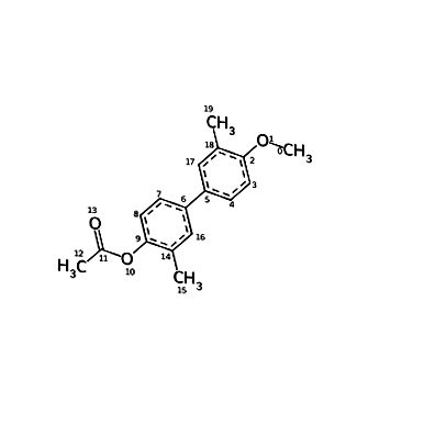 COc1ccc(-c2ccc(OC(C)=O)c(C)c2)cc1C